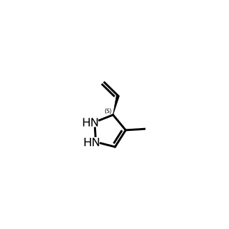 C=C[C@@H]1NNC=C1C